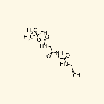 C#CCNC(=O)CNC(=O)CNC(=O)OC(C)(C)C